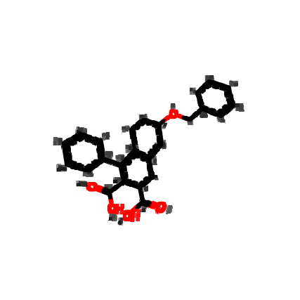 O=C(O)c1cc2cc(OCc3ccccc3)ccc2c(-c2ccccc2)c1C(=O)O